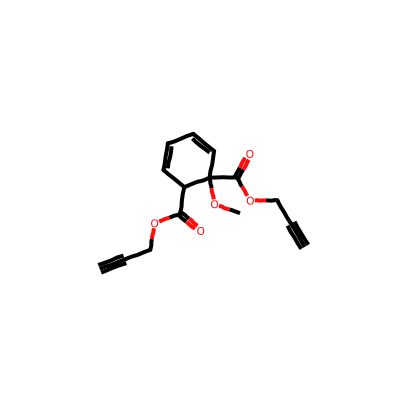 C#CCOC(=O)C1C=CC=CC1(OC)C(=O)OCC#C